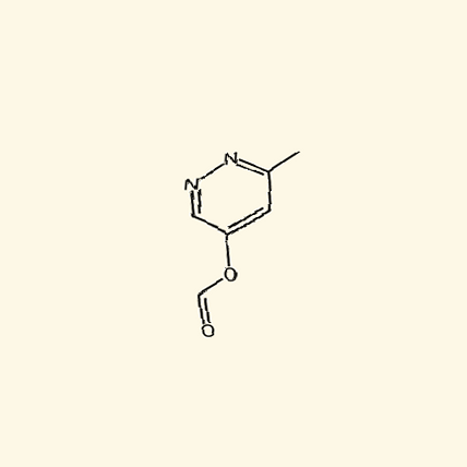 Cc1cc(OC=O)cnn1